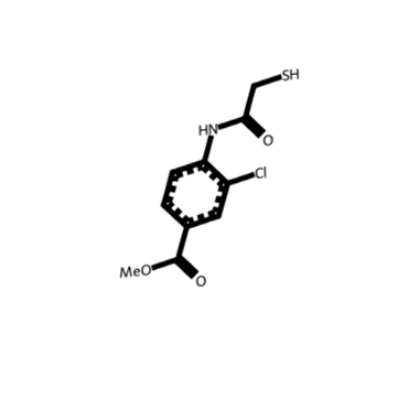 COC(=O)c1ccc(NC(=O)CS)c(Cl)c1